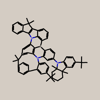 CC(C)(C)c1ccc2c(c1)-c1ccc(cc1)C(C)(C)c1cc3c4c(c1)-n1c5c(c6cccc(c61)B4c1ccc(N4c6ccc(C(C)(C)C)cc6C6(C)CCCCC46C)cc1N23)C(C)(C)c1ccccc1-5